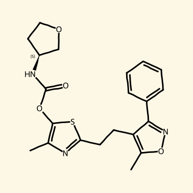 Cc1nc(CCc2c(-c3ccccc3)noc2C)sc1OC(=O)N[C@H]1CCOC1